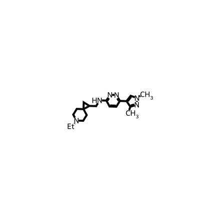 CCN1CCC2(CC1)CC2CNc1ccc(-c2cn(C)nc2C)nn1